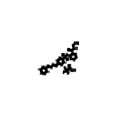 N#CCNC(=O)[C@@H]1CCCC[C@H]1CS(=O)(=O)c1ccc(SCCOc2cccnc2)cc1.O=C(O)C(F)(F)F